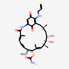 C=CCNC1=C2C[C@@H](C)C[C@H](O)[C@H](O)[C@@H](C)/C=C(\C)[C@H](OC(N)=O)[C@@H](OC)/C=C\C=C(/C)C(=O)NC(=CC1=O)C2=O